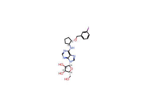 OC[C@H]1O[C@@H](n2cnc3c(N[C@H]4CCC[C@@H]4OCc4cccc(I)c4)ncnc32)[C@H](O)[C@@H]1O